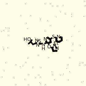 CCn1nccc1Oc1cc(Sc2ccccn2)cnc1Nc1nc(CC(C)(C)O)ns1